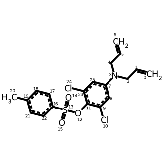 C=CCN(CC=C)c1cc(Cl)c(OS(=O)(=O)c2ccc(C)cc2)c(Cl)c1